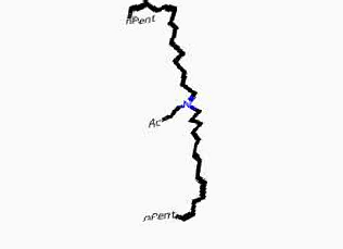 CCCCC/C=C\C/C=C\CCCCCCCCN(CCCCCCCC/C=C\C/C=C\CCCCC)CCC(C)=O